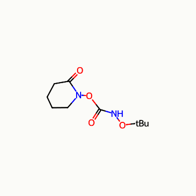 CC(C)(C)ONC(=O)ON1CCCCC1=O